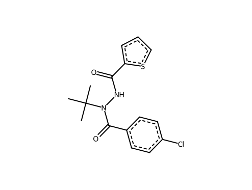 CC(C)(C)N(NC(=O)c1cccs1)C(=O)c1ccc(Cl)cc1